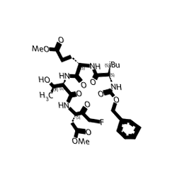 CC[C@H](C)[C@H](NC(=O)OCc1ccccc1)C(=O)N[C@@H](CCC(=O)OC)C(=O)N[C@H](C(=O)N[C@@H](CC(=O)OC)C(=O)CF)[C@@H](C)O